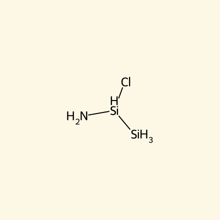 N[SiH]([SiH3])Cl